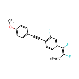 CCCCC/C(F)=C(/F)c1ccc(C#Cc2ccc(OC(F)(F)F)cc2)c(F)c1